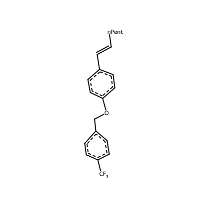 CCCCCC=Cc1ccc(OCc2ccc(C(F)(F)F)cc2)cc1